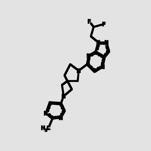 Cc1ncc(N2CC3(CCN(c4cnc5cnn(CC(F)F)c5n4)C3)C2)cn1